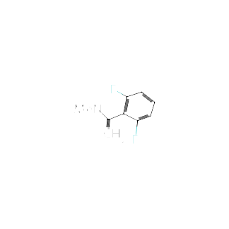 C=C(NC)c1c(F)cccc1F